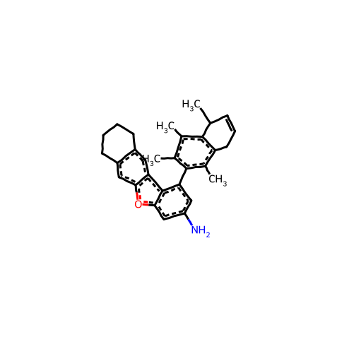 Cc1c(C)c2c(c(C)c1-c1cc(N)cc3oc4cc5c(cc4c13)CCCC5)CC=CC2C